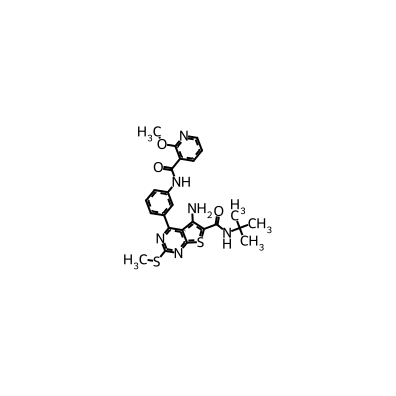 COc1ncccc1C(=O)Nc1cccc(-c2nc(SC)nc3sc(C(=O)NC(C)(C)C)c(N)c23)c1